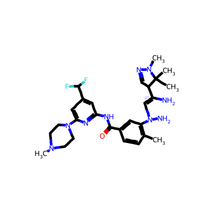 Cc1ccc(C(=O)Nc2cc(C(F)F)cc(N3CCN(C)CC3)n2)cc1N(N)/C=C(\N)C1C=NN(C)C1(C)C